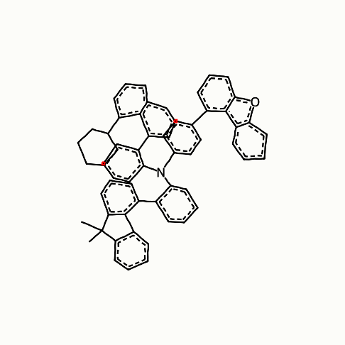 CC1(C)c2ccccc2-c2c(-c3ccccc3N(c3ccc(-c4cccc5oc6ccccc6c45)cc3)c3ccccc3-c3cccc4cccc(C5CCCCC5)c34)cccc21